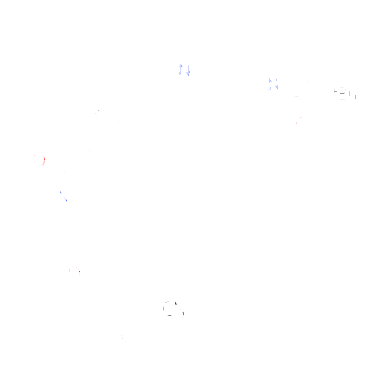 Cc1c(OC2CCN(C(=O)c3ccc(C4CCN(CC5CCN(C(=O)OC(C)(C)C)CC5)CC4)cc3)CC2)ccc(C#N)c1Cl